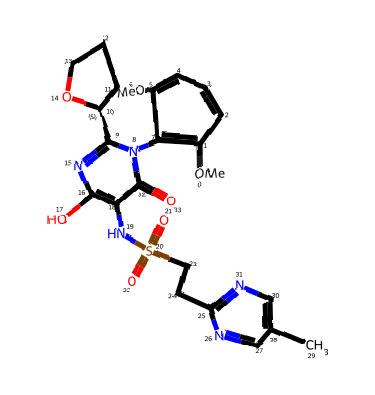 COc1cccc(OC)c1-n1c([C@@H]2CCCO2)nc(O)c(NS(=O)(=O)CCc2ncc(C)cn2)c1=O